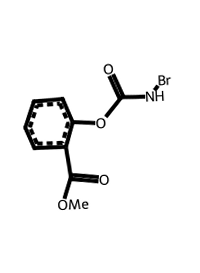 COC(=O)c1ccccc1OC(=O)NBr